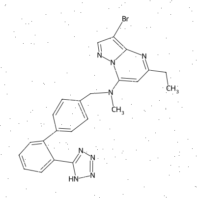 CCc1cc(N(C)Cc2ccc(-c3ccccc3-c3nnn[nH]3)cc2)n2ncc(Br)c2n1